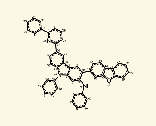 c1ccc(Nc2cc3c(cc2-c2ccc4c(c2)oc2ccccc24)c2cc(-c4cccc(-c5ccccc5)n4)ccc2n3-c2ccccc2)cc1